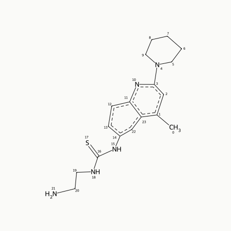 Cc1cc(N2CCCCC2)nc2ccc(NC(=S)NCCN)cc12